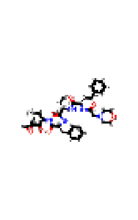 CC(C)CC(NC(=O)[C@H](Cc1ccccc1)NC(=O)[C@H](CC(C)C)NC(=O)[C@H](CCc1ccccc1)NC(=O)CN1CCOCC1)C(=O)C1(C)CO1